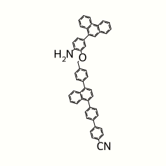 N#Cc1ccc(-c2ccc(-c3ccc(-c4ccc(COc5cc(-c6cc7ccccc7c7ccccc67)ccc5N)cc4)c4ccccc34)cc2)cc1